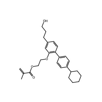 C=C(C)C(=O)OCCOc1cc(CCCO)ccc1-c1ccc(C2CCCCC2)cc1